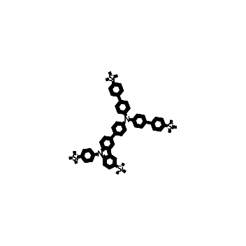 C[Si](C)(C)c1ccc(-c2ccc(N(c3ccc(-c4ccc([Si](C)(C)C)cc4)cc3)c3ccc(-c4ccc5c(c4)c4cc([Si](C)(C)C)ccc4n5-c4ccc([Si](C)(C)C)cc4)cc3)cc2)cc1